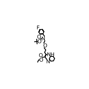 CCOC(=O)C(C#N)=C(CCCOCCN(Cc1ccc(F)cc1)C(=O)OC(C)(C)C)NC1CCCCC1